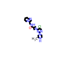 C[C@H]1CN(c2ncc(Cl)c(N3CC(C(=O)NCc4cnc5ccccn45)C3)n2)CCN1